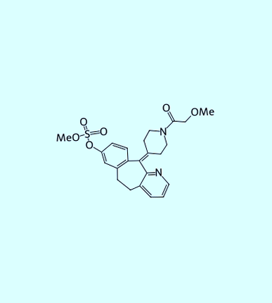 COCC(=O)N1CCC(=C2c3ccc(OS(=O)(=O)OC)cc3CCc3cccnc32)CC1